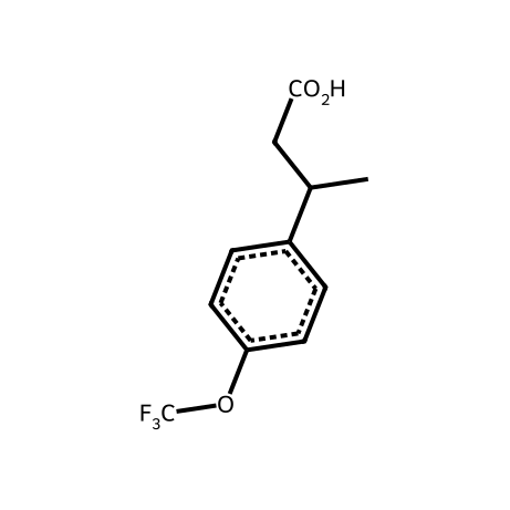 CC(CC(=O)O)c1ccc(OC(F)(F)F)cc1